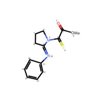 COC(=O)C(=S)N1CCCC1=Nc1ccccc1